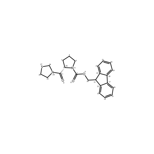 O=C([C@@H]1CCCN1C(=O)OCC1c2ccccc2-c2ccccc21)N1CCSC1